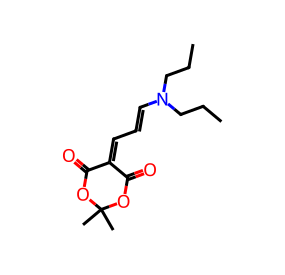 CCCN(C=CC=C1C(=O)OC(C)(C)OC1=O)CCC